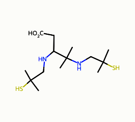 CC(C)(S)CNC(CC(=O)O)C(C)(C)NCC(C)(C)S